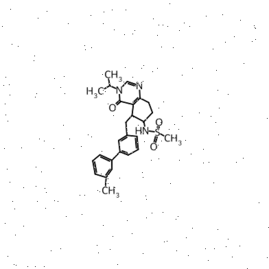 Cc1cccc(-c2cccc(CC3c4c(ncn(C(C)C)c4=O)CCC3NS(C)(=O)=O)c2)c1